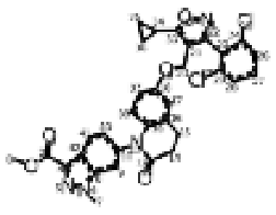 COC(=O)c1nn(C)c2cc(N3C(=O)CCc4cc(OCc5c(-c6c(Cl)cccc6Cl)noc5C5CC5)ccc43)ccc12